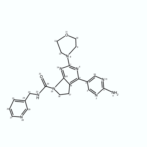 Nc1ncc(-c2nc(N3CCOCC3)nc3c2CCN3C(=O)NCc2cccnc2)cn1